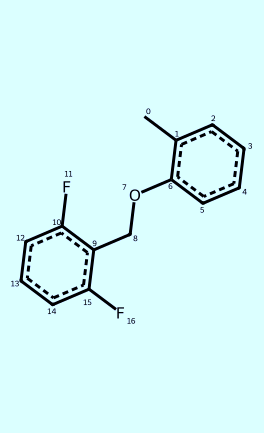 Cc1ccccc1OCc1c(F)cccc1F